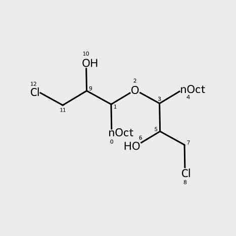 CCCCCCCCC(OC(CCCCCCCC)C(O)CCl)C(O)CCl